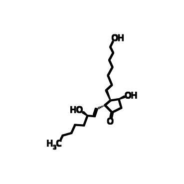 CCCCC[C@@H](O)/C=C/[C@H]1C(=O)C[C@H](O)[C@@H]1CCCCCCCO